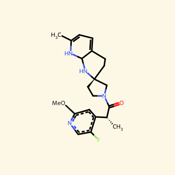 COc1cc([C@@H](C)C(=O)N2CC[C@@]3(CCC4=CC=C(C)NC4N3)C2)c(F)cn1